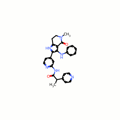 CC(C(=O)Nc1cc(-c2[nH]c3c(c2Nc2ccccc2)C(=O)N(C)CC3)ccn1)c1ccncc1